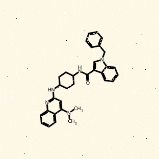 CN(C)c1cc(NC2CCC(NC(=O)c3cn(Cc4ccccc4)c4ccccc34)CC2)nc2ccccc12